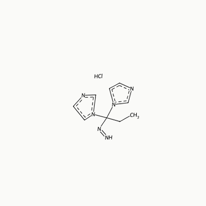 CCC(N=N)(n1ccnc1)n1ccnc1.Cl